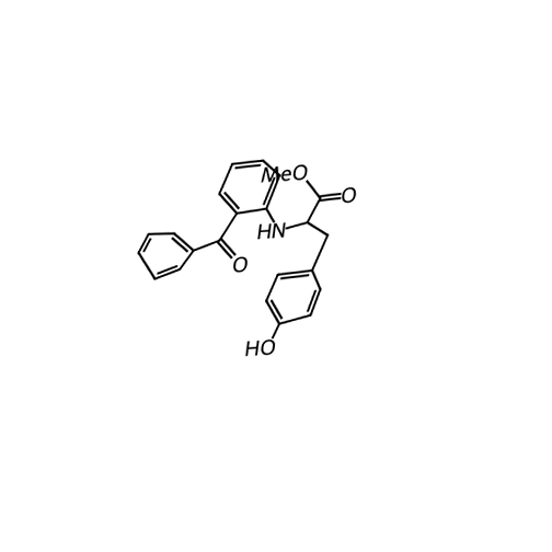 COC(=O)C(Cc1ccc(O)cc1)Nc1ccccc1C(=O)c1ccccc1